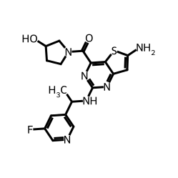 CC(Nc1nc(C(=O)N2CCC(O)C2)c2sc(N)cc2n1)c1cncc(F)c1